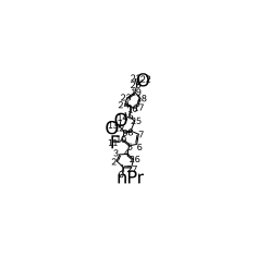 CCCc1ccc(-c2ccc3c(c2F)C(=O)OC(c2ccc(C4CO4)cc2)C3)cc1